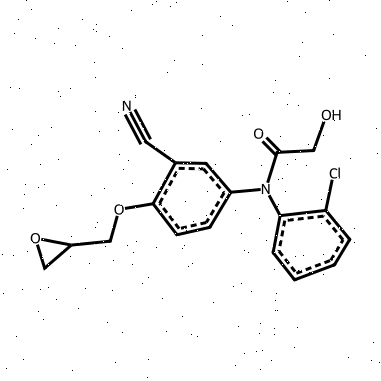 N#Cc1cc(N(C(=O)CO)c2ccccc2Cl)ccc1OCC1CO1